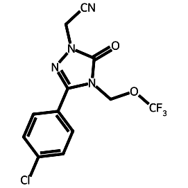 N#CCn1nc(-c2ccc(Cl)cc2)n(COC(F)(F)F)c1=O